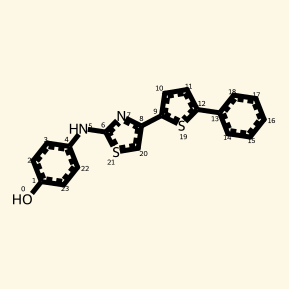 Oc1ccc(Nc2nc(-c3ccc(-c4ccccc4)s3)cs2)cc1